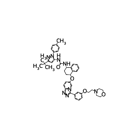 Cc1ccc(-n2nc(C(C)(C)C)cc2NC(=O)N[C@H]2CCC(Oc3ccc4nnc(-c5cccc(OCCN6CCOCC6)c5)n4c3)c3ccccc32)cc1